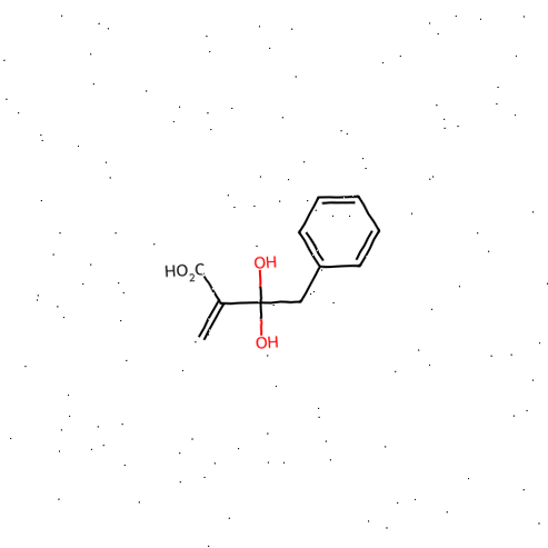 C=C(C(=O)O)C(O)(O)Cc1ccccc1